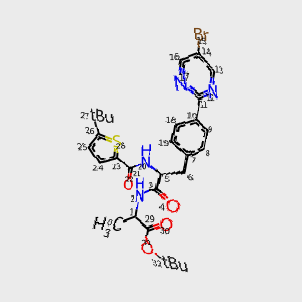 CC(NC(=O)[C@H](Cc1ccc(-c2ncc(Br)cn2)cc1)NC(=O)c1ccc(C(C)(C)C)s1)C(=O)OC(C)(C)C